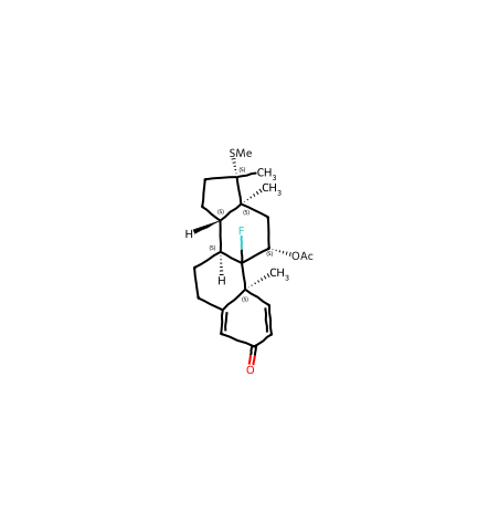 CS[C@@]1(C)CC[C@H]2[C@@H]3CCC4=CC(=O)C=C[C@]4(C)C3(F)[C@@H](OC(C)=O)C[C@@]21C